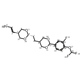 CCC/C=C/[C@H]1CO[C@H](CCC2COC(c3ccc(OC(F)F)c(F)c3)OC2)OC1